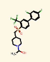 CC(O)N1CCC(CS(=O)(=O)c2ccc(-c3ccc(F)cc3F)cc2C(F)(F)F)CC1